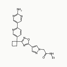 CCNC(=O)Cn1cc(-c2nc(C3(c4ccc(-c5cnc(N)nc5)nc4)CCC3)no2)cn1